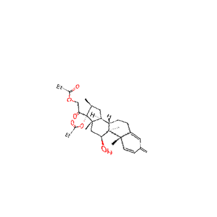 C=C1C=C[C@@]2(C)C(=C1)CC[C@H]1[C@@H]3C[C@H](C)[C@](OC(=O)CC)(C(=O)COC(=O)CC)[C@@]3(C)C[C@H](O)[C@@]12C